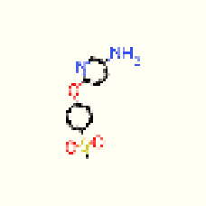 CS(=O)(=O)c1ccc(Oc2ccc(N)cn2)cc1